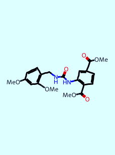 COC(=O)c1ccc(C(=O)OC)c(NC(=O)NCc2ccc(OC)cc2OC)c1